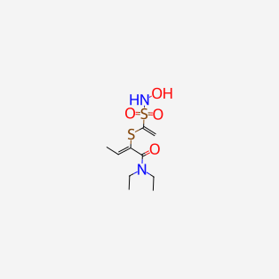 C=C(S/C(=C\C)C(=O)N(CC)CC)S(=O)(=O)NO